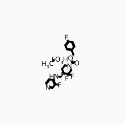 CS(=O)(=O)O.O=C(OCc1ccc(F)cc1)N1CC[C@H](CNc2ccncc2F)C(F)(F)C1